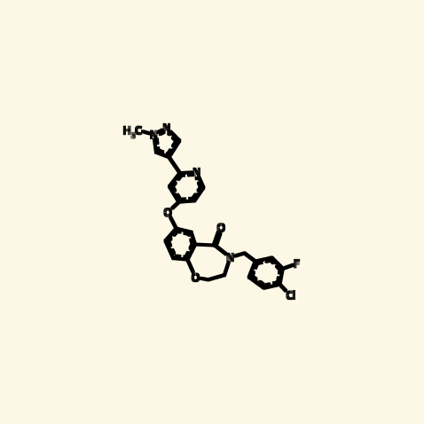 Cn1cc(-c2cc(Oc3ccc4c(c3)C(=O)N(Cc3ccc(Cl)c(F)c3)CCO4)ccn2)cn1